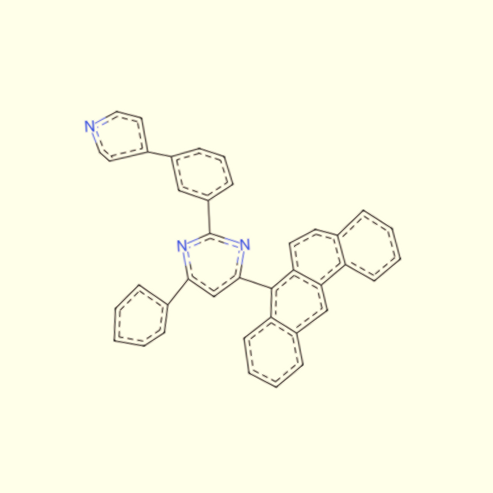 c1ccc(-c2cc(-c3c4ccccc4cc4c3ccc3ccccc34)nc(-c3cccc(-c4ccncc4)c3)n2)cc1